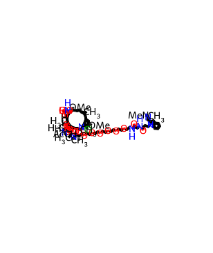 CNN(C)Cc1cc2ccccc2n1CCC(=O)NCC(=O)NCCOCCOCCOCCOCCOCCOCCC(=O)N(C)C(C)C(=O)O[C@]1(OC(=O)[C@H](C)N(C)C(C)=O)CC(=O)N(C)c2cc(cc(OC)c2Cl)C/C(C)=C/C=C/C(OC)[C@@]2(O)C[C@H](OC(=O)N2)[C@@H](C)[C@@H]2O[C@]21C